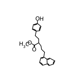 COC(=O)C(CCCc1cccc2ccccc12)CCc1ccc(O)cc1